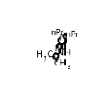 CCCC(CCC)N1CCc2cnc(Nc3cc(C)cc(C)c3)nc2CC1